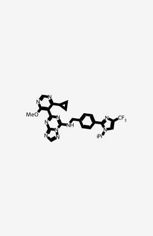 COc1ncnc(C2CC2)c1-c1nc(NCc2ccc(-c3nc(C(F)(F)F)cn3C(C)C)cc2)n2ncnc2n1